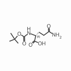 CC(C)(C)OC(=O)N[C@H](CCC(N)=O)C(=O)O